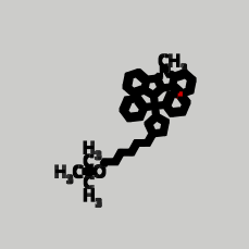 CN1c2ccccc2C2C1c1ccccc1C2C(c1ccccc1)(c1ccccc1)C1CCC(CCCCCCOC(C)(C)C)C1